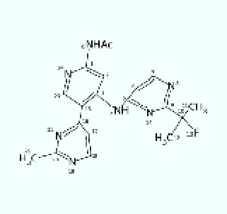 CC(=O)Nc1cc(Nc2ccnc(C(C)(C)F)n2)c(-c2ccnc(C)n2)cn1